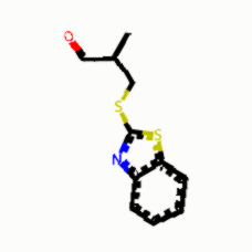 CC(C=O)CSc1nc2ccccc2s1